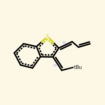 C=C/C=c1/sc2ccccc2/c1=C/C(C)(C)C